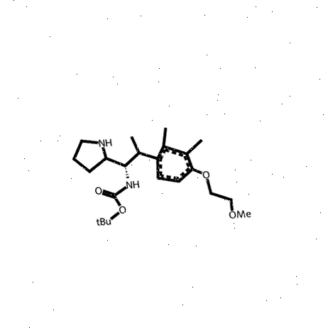 COCCOc1ccc(C(C)[C@H](NC(=O)OC(C)(C)C)C2CCCN2)c(C)c1C